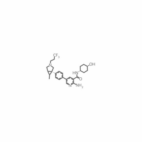 CC1C2CN(CCC(F)(F)F)C[C@@]12c1ccc(-c2cnc(N)c(C(=O)N[C@H]3CC[C@H](O)CC3)c2)cc1